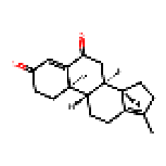 CC1=C2CC[C@H]3[C@@H](CC(=O)C4=CC(=O)CC[C@@]43C)[C@@H]2CC1